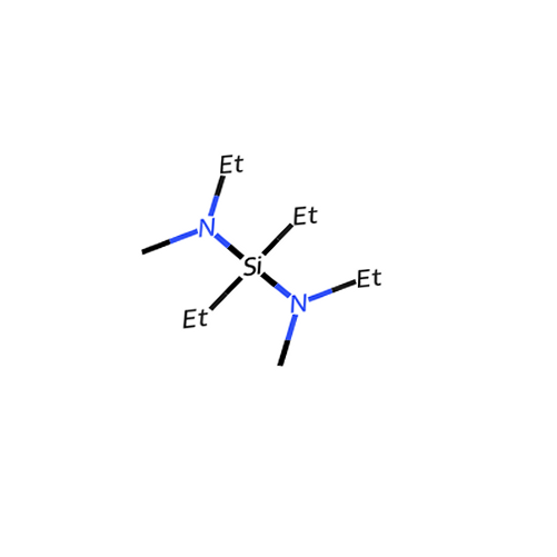 CCN(C)[Si](CC)(CC)N(C)CC